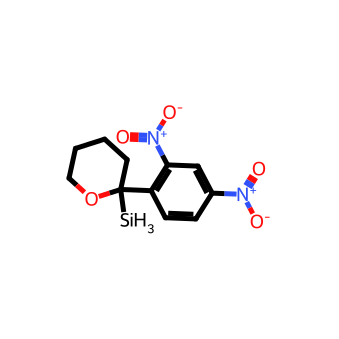 O=[N+]([O-])c1ccc(C2([SiH3])CCCCO2)c([N+](=O)[O-])c1